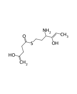 C=C(O)CCC(=O)SCCC(N)C(O)=CC